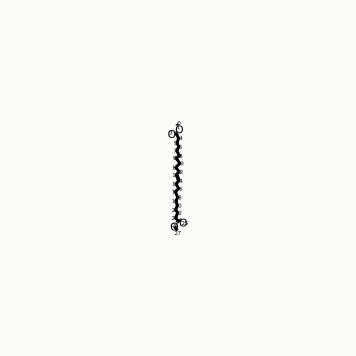 COC(=O)CCCCCCCCCC=CCCCCCCCCCC(=O)OC